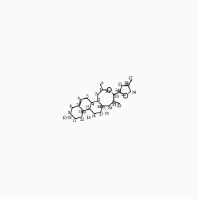 CC1CC2C3CC=C4C[C@@H](C)CC[C@]4(C)C3CC[C@]2(C)C[C@H](C)C([C@H]2C[C@@H](C)CO2)O1